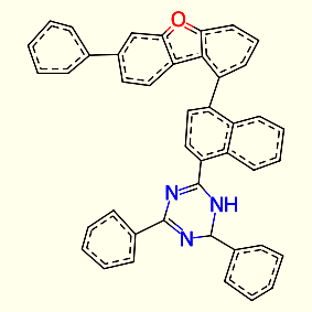 c1ccc(C2=NC(c3ccccc3)NC(c3ccc(-c4cccc5oc6cc(-c7ccccc7)ccc6c45)c4ccccc34)=N2)cc1